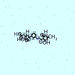 Cc1cc(O)c(C(=O)/C=C/c2cccc(C(=O)NC(CC(=O)O)C(=O)O)c2)c(=O)[nH]1